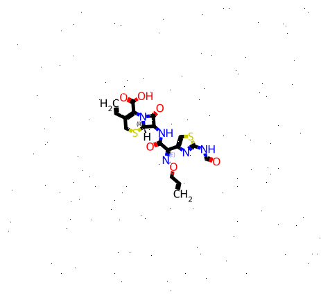 C=CCO/N=C(/C(=O)NC1C(=O)N2C(C(=O)O)=C(C=C)CS[C@H]12)c1csc(NC=O)n1